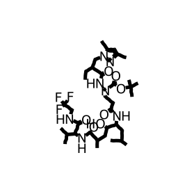 CCC(Cn1nc(C)cc1C)C(=O)NN(CCC(=O)NC(CC(C)C)C(O)CC(C)C(=O)NC(C(=O)NCC(F)(F)F)C(C)C)C(=O)OC(C)(C)C